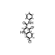 O=C(Nc1ccccc1)c1c[nH]c2cc(Cl)ccc2c1=O